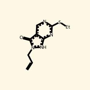 C=CCn1[nH]c2nc(SCC)ncc2c1=O